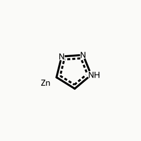 [Zn].c1c[nH]nn1